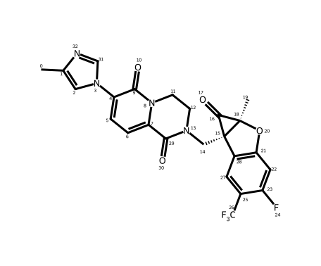 Cc1cn(-c2ccc3n(c2=O)CCN(C[C@]24C(=O)[C@@]2(C)Oc2cc(F)c(C(F)(F)F)cc24)C3=O)cn1